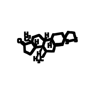 C[C@@H]1CC2=CC3(CCSS3)CC[C@@H]2[C@H]2CC[C@]3(C)C(=O)CC[C@H]3[C@@H]21